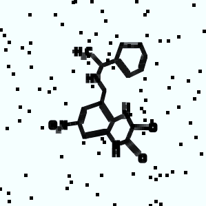 [CH2]C(NCc1cc([N+](=O)[O-])cc2[nH]c(=O)c(=O)[nH]c12)c1ccccc1